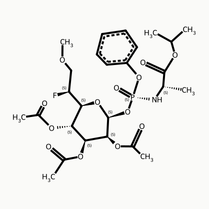 COC[C@H](F)[C@H]1O[C@@H](O[P@](=O)(N[C@@H](C)C(=O)OC(C)C)Oc2ccccc2)[C@@H](OC(C)=O)[C@@H](OC(C)=O)[C@@H]1OC(C)=O